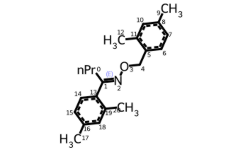 CCC/C(=N\OCc1ccc(C)cc1C)c1ccc(C)cc1C